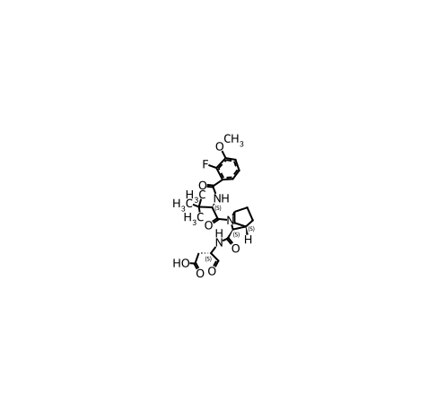 COc1cccc(C(=O)N[C@H](C(=O)N2C3CC[C@@H](C3)[C@H]2C(=O)N[C@H](C=O)CC(=O)O)C(C)(C)C)c1F